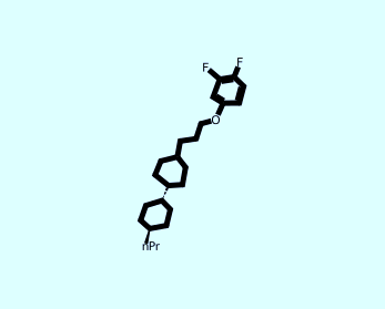 CCC[C@H]1CC[C@H](C2CCC(CCCOc3ccc(F)c(F)c3)CC2)CC1